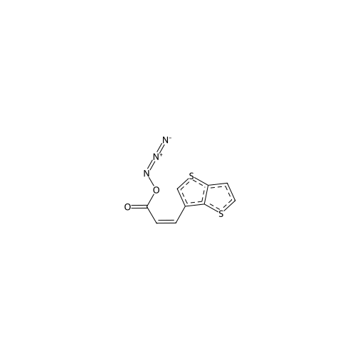 [N-]=[N+]=NOC(=O)/C=C\c1csc2ccsc12